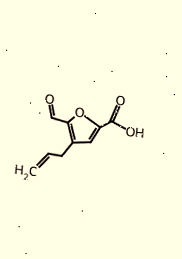 C=CCc1cc(C(=O)O)oc1C=O